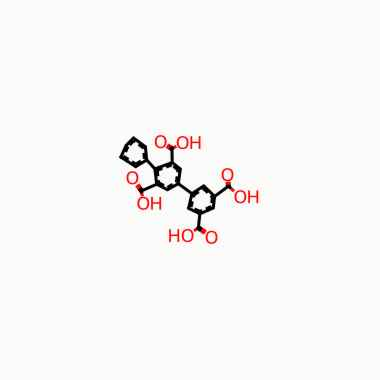 O=C(O)c1cc(C(=O)O)cc(-c2cc(C(=O)O)c(-c3ccccc3)c(C(=O)O)c2)c1